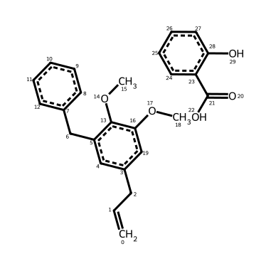 C=CCc1cc(Cc2ccccc2)c(OC)c(OC)c1.O=C(O)c1ccccc1O